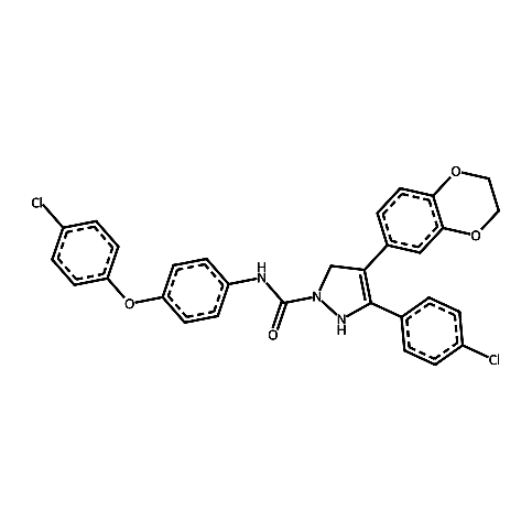 O=C(Nc1ccc(Oc2ccc(Cl)cc2)cc1)N1CC(c2ccc3c(c2)OCCO3)=C(c2ccc(Cl)cc2)N1